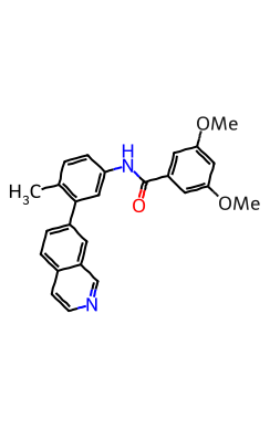 COc1cc(OC)cc(C(=O)Nc2ccc(C)c(-c3ccc4ccncc4c3)c2)c1